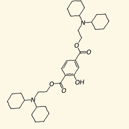 O=C(OCCN(C1CCCCC1)C1CCCCC1)c1ccc(C(=O)OCCN(C2CCCCC2)C2CCCCC2)c(O)c1